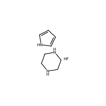 C1CNCCN1.F.c1cc[nH]c1